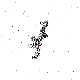 N#Cc1ccc(-c2ccc(CC(NC(=O)C3Cc4cc5c(cc4CN3Cc3ccccc3)OC(c3ccc(OCc4cnc(Cl)c(Cl)c4)cc3)C(=O)N5)C(=O)O)cc2)cc1